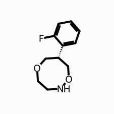 Fc1ccccc1[C@H]1COCCNOC1